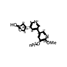 CCCOc1cc(-c2cncc([C@@H]3COB(O)C3)c2)cnc1OC